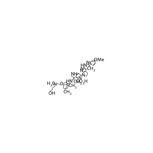 COc1ccc2sc(Nc3nnc4c(c3C)CCCN4c3ccc(/C(C=N)=C(\C)NCC4CC5(C)CC6(C)CC4CC(OCCN(C)CCCCO)(C5)C6)c(C(=O)O)n3)nc2c1